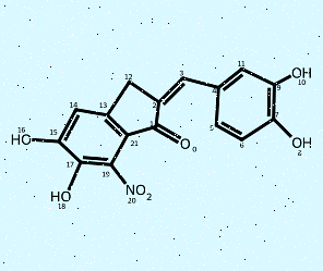 O=C1/C(=C\c2ccc(O)c(O)c2)Cc2cc(O)c(O)c([N+](=O)[O-])c21